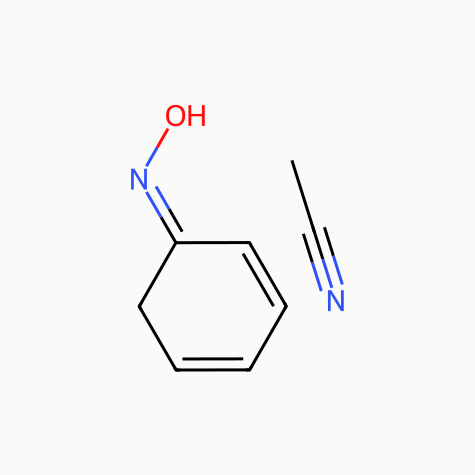 CC#N.ON=C1C=CC=CC1